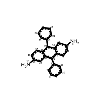 Nc1ccc2c(-c3ccccc3)c3cc(N)ccc3c(-c3ccccc3)c2c1